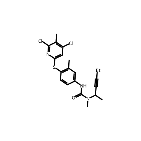 CCC#CC(C)N(C)C(=O)Nc1ccc(Sc2cc(Cl)c(C)c(Cl)n2)c(C)c1